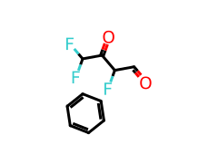 O=CC(F)C(=O)C(F)F.c1ccccc1